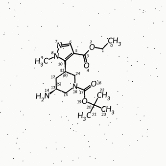 CCOC(=O)c1cnn(C)c1[C@@H]1C[C@H](N)CN(C(=O)OC(C)(C)C)C1